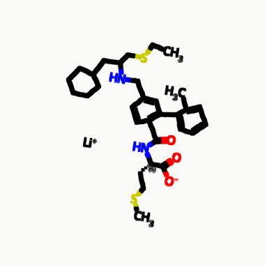 CCSCC(CC1CCCCC1)NCc1ccc(C(=O)N[C@@H](CCSC)C(=O)[O-])c(-c2ccccc2C)c1.[Li+]